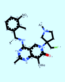 COc1c(=O)n(C2(CF)CCN(C(C)=O)C2)cc2c(N[C@H](C)c3cccc([N+](=O)[O-])c3C)nc(C)nc12